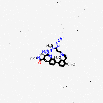 CCCN(CCC)C(=O)C1=Cc2ccc(-c3ccc(C=O)c(/C=C\N(C)CCC(=NN=[N+]=[N-])N(C)N)c3)cc2N=C(N)C1